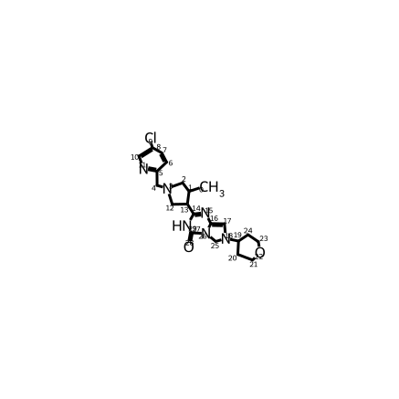 CC1CN(Cc2ccc(Cl)cn2)CC1C1=NC2=CN(C3CCOCC3)CN2C(=O)N1